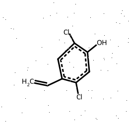 C=Cc1cc(Cl)c(O)cc1Cl